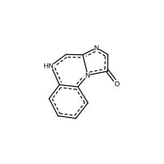 O=c1cnc2c[nH]c3ccccc3n1-2